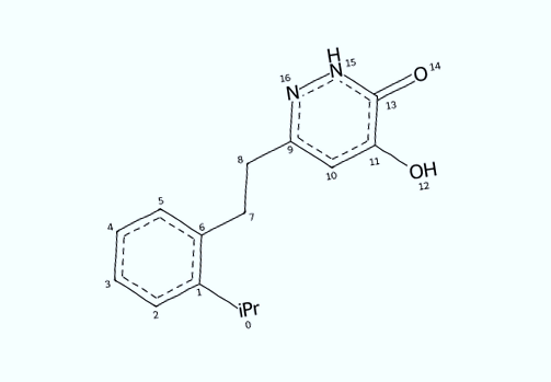 CC(C)c1ccccc1CCc1cc(O)c(=O)[nH]n1